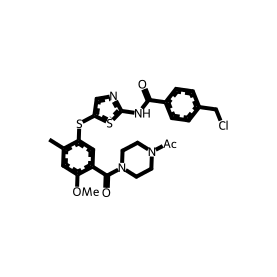 COc1cc(C)c(Sc2cnc(NC(=O)c3ccc(CCl)cc3)s2)cc1C(=O)N1CCN(C(C)=O)CC1